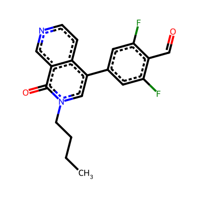 CCCCn1cc(-c2cc(F)c(C=O)c(F)c2)c2ccncc2c1=O